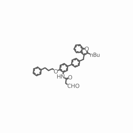 CCCCc1oc2ccccc2c1Cc1ccc(-c2ccc(OCCCc3ccccc3)c(NC(=O)CC=O)c2)cc1